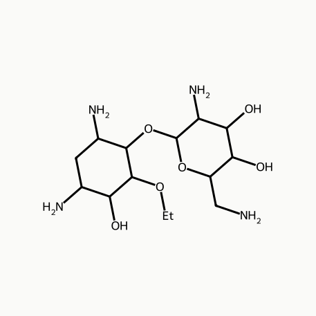 CCOC1C(O)C(N)CC(N)C1OC1OC(CN)C(O)C(O)C1N